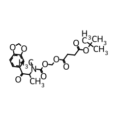 CC(C(=O)c1ccc2c(c1)OCO2)N(C)C(=O)OCOC(=O)CCC(=O)OC(C)(C)C